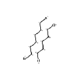 BrCCCCCCBr.ClCCCCCCl